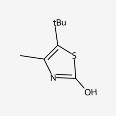 Cc1nc(O)sc1C(C)(C)C